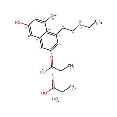 CCC(=O)O.CCC(=O)O.CCNCCc1cccc2cc(O)cc(O)c12.Cl